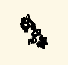 CC(C)(C)[Si](C)(C)OC[C@H]1O[C@@H](n2cc(I)c3c(N)ncnc32)C[C@@H]1O